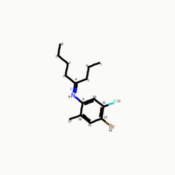 CCCC/C(CCC)=N/c1cc(F)c(Br)cc1C